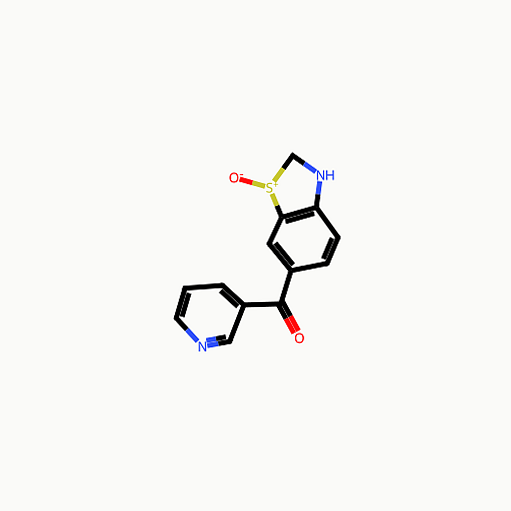 O=C(c1cccnc1)c1ccc2c(c1)[S+]([O-])CN2